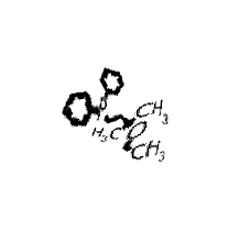 CCOC(C)(C)CCP(c1ccccc1)c1ccccc1